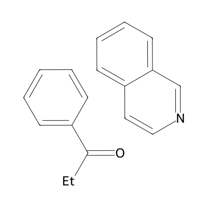 CCC(=O)c1ccccc1.c1ccc2cnccc2c1